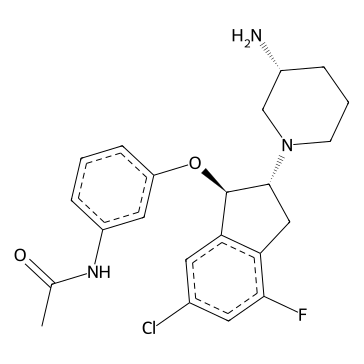 CC(=O)Nc1cccc(O[C@@H]2c3cc(Cl)cc(F)c3C[C@H]2N2CCC[C@@H](N)C2)c1